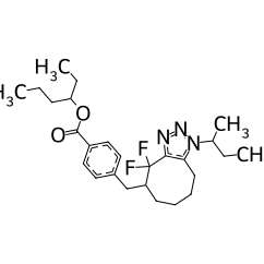 CCCC(CC)OC(=O)c1ccc(CC2CCCCc3c(nnn3C(C)CC)C2(F)F)cc1